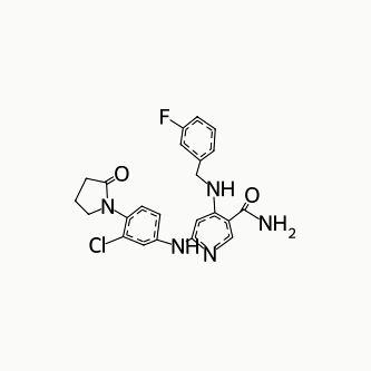 NC(=O)c1cnc(Nc2ccc(N3CCCC3=O)c(Cl)c2)cc1NCc1cccc(F)c1